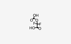 O=C(O)OC(F)(F)C(=O)O